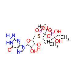 CCC(O)(CC)P(=O)(O)OC(CC)(CC)P(=O)(O)SCC1OC(n2cnc3c(=O)[nH]c(N)nc32)C(O)C1O